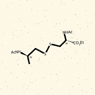 CCOC(=O)[C@H](CSSC[C@@H](C)NC(C)=O)NC(C)=O